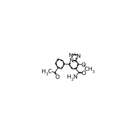 COc1c(C(N)=O)cc(-c2cccc(C(C)=O)c2)n2n[c]nc12